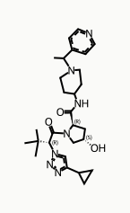 CC(c1ccncc1)N1CCC(NC(=O)[C@H]2C[C@H](O)CN2C(=O)[C@H](n2cc(C3CC3)nn2)C(C)(C)C)CC1